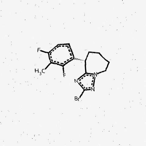 Cc1c(F)ccc([C@@H]2CCCCn3nc(Br)nc32)c1F